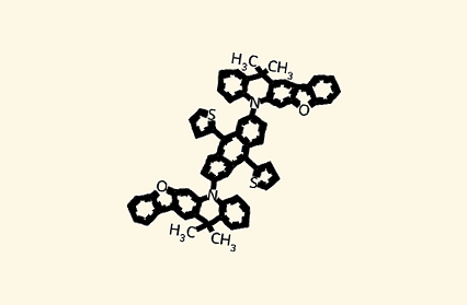 CC1(C)c2ccccc2N(c2ccc3c(-c4cccs4)c4cc(N5c6ccccc6C(C)(C)c6cc7c(cc65)oc5ccccc57)ccc4c(-c4cccs4)c3c2)c2cc3oc4ccccc4c3cc21